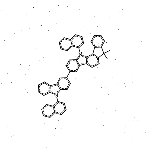 CC1(C)c2ccccc2-c2c1ccc1c3cc(-c4ccc5c(c4)c4ccccc4n5-c4cccc5ccccc45)ccc3n(-c3cccc4ccccc34)c21